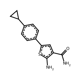 NC(=O)c1cc(-c2ccc(C3CC3)cc2)sc1N